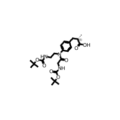 C[C@@H](Cc1ccc(N(CCNC(=O)OC(C)(C)C)C(=O)CNC(=O)OC(C)(C)C)cc1)C(=O)O